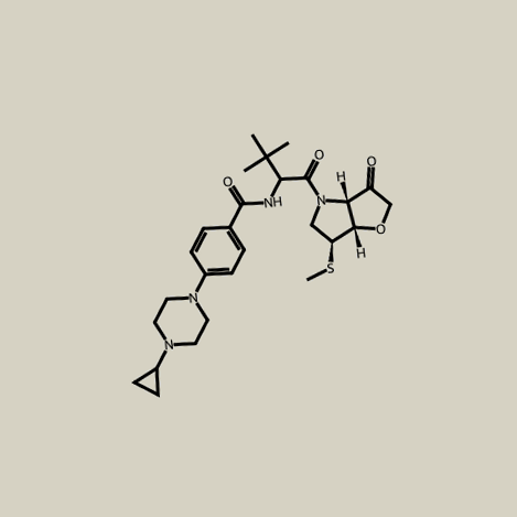 CS[C@H]1CN(C(=O)C(NC(=O)c2ccc(N3CCN(C4CC4)CC3)cc2)C(C)(C)C)[C@@H]2C(=O)CO[C@H]12